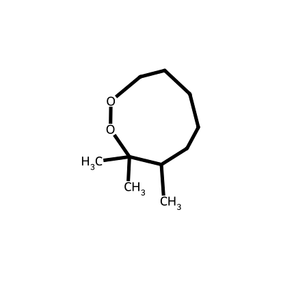 CC1CCCCCOOC1(C)C